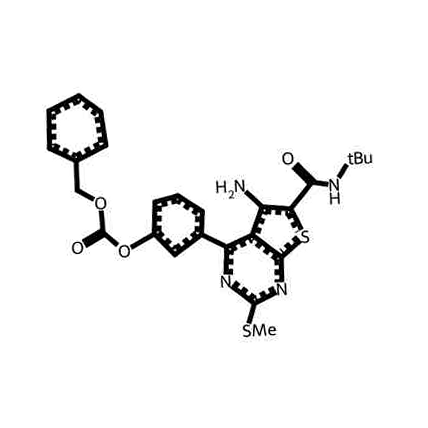 CSc1nc(-c2cccc(OC(=O)OCc3ccccc3)c2)c2c(N)c(C(=O)NC(C)(C)C)sc2n1